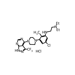 CCN(CC)CCNc1cc(Cl)cc(N2CCN(c3ncnc4[nH]nc(C(F)(F)F)c34)CC2)c1C.Cl